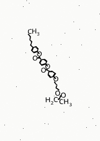 C=C(C)C(=O)OCCCCOc1ccc(C(=O)Oc2ccc(C(=O)Oc3ccc(CCCCCC)cc3)cc2)cc1